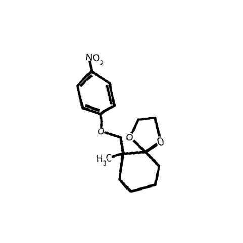 CC1(COc2ccc([N+](=O)[O-])cc2)CCCCC12OCCO2